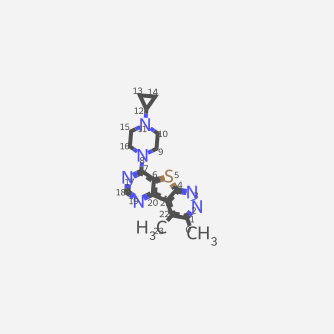 Cc1nnc2sc3c(N4CCN(C5CC5)CC4)ncnc3c2c1C